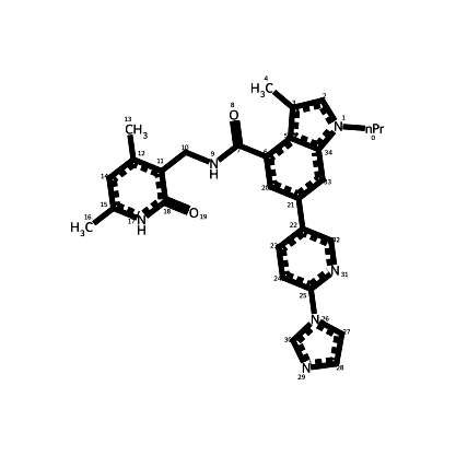 CCCn1cc(C)c2c(C(=O)NCc3c(C)cc(C)[nH]c3=O)cc(-c3ccc(-n4ccnc4)nc3)cc21